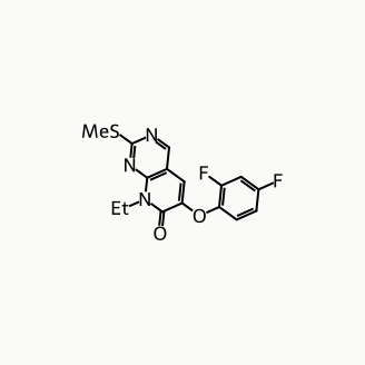 CCn1c(=O)c(Oc2ccc(F)cc2F)cc2cnc(SC)nc21